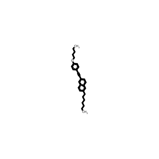 CCCCCCCc1ccc2cc(C#Cc3ccc(OCCCCC)cc3)ccc2c1